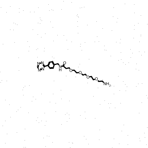 NCCOCCOCCOCCOCCC(=O)NCc1ccc(-c2nncnn2)cc1